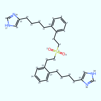 O=S(=O)(CCc1ccccc1CCCCc1c[nH]cn1)CCc1ccccc1CCCCc1c[nH]cn1